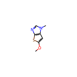 COc1cc2c(ncn2C)s1